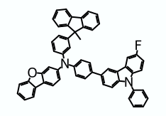 CC1(c2cccc(N(c3ccc(-c4ccc5c(c4)c4cc(F)ccc4n5-c4ccccc4)cc3)c3ccc4c(c3)oc3ccccc34)c2)c2ccccc2-c2ccccc21